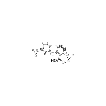 O=C(O)c1c(Oc2cccc(C3CC3)c2)cnnc1C1CC1